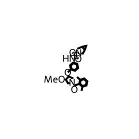 CO[C@@H]1CN(C(=O)c2c(C)cccc2C)C[C@H]1Oc1cccc(NS(=O)(=O)N2CC3CC3C2)c1